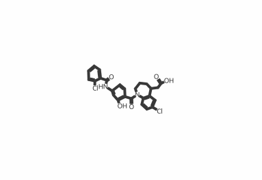 O=C(O)CC1CCCN(C(=O)c2ccc(NC(=O)c3ccccc3Cl)cc2O)c2ccc(Cl)cc21